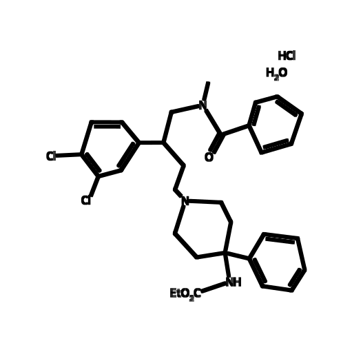 CCOC(=O)NC1(c2ccccc2)CCN(CCC(CN(C)C(=O)c2ccccc2)c2ccc(Cl)c(Cl)c2)CC1.Cl.O